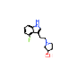 OC1CCN(CCc2c[nH]c3cccc(F)c23)C1